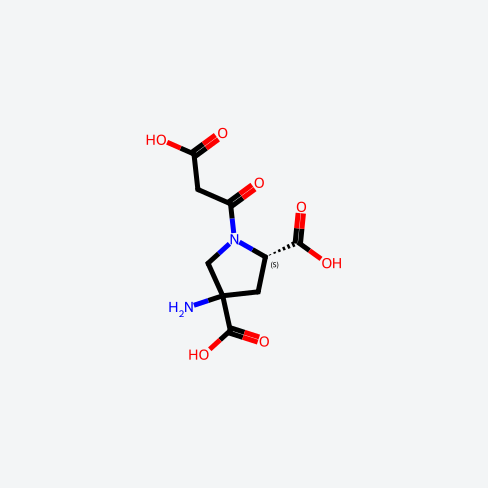 NC1(C(=O)O)C[C@@H](C(=O)O)N(C(=O)CC(=O)O)C1